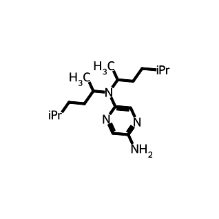 CC(C)CCC(C)N(c1cnc(N)cn1)C(C)CCC(C)C